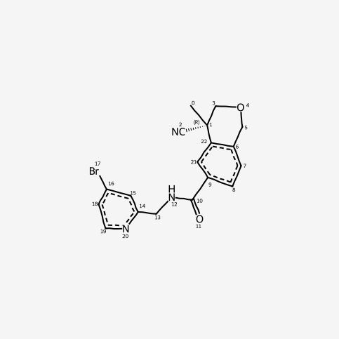 C[C@@]1(C#N)COCc2ccc(C(=O)NCc3cc(Br)ccn3)cc21